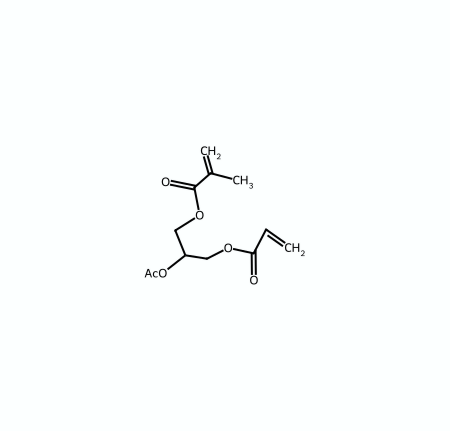 C=CC(=O)OCC(COC(=O)C(=C)C)OC(C)=O